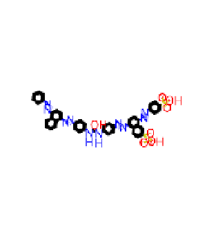 O=S(=O)(O)c1ccc(/N=N/c2ccc(/N=N/c3ccc(NC(O)Nc4ccc(/N=N/c5ccc(/N=N/c6ccccc6)c6ccccc56)cc4)cc3)c3ccc(S(=O)(=O)O)cc23)cc1